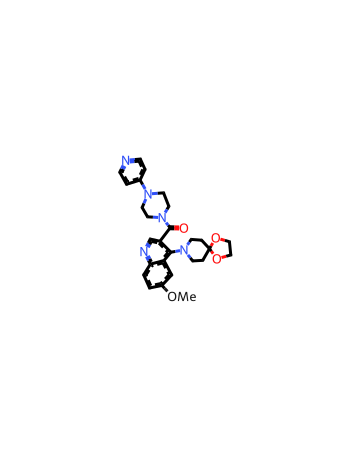 COc1ccc2ncc(C(=O)N3CCN(c4ccncc4)CC3)c(N3CCC4(CC3)OCCO4)c2c1